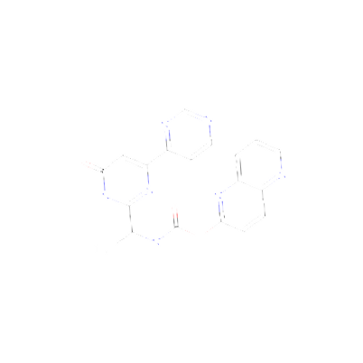 CC(NC(=O)Oc1ccc2ncccc2n1)c1nc(-c2ccncn2)cc(=O)[nH]1